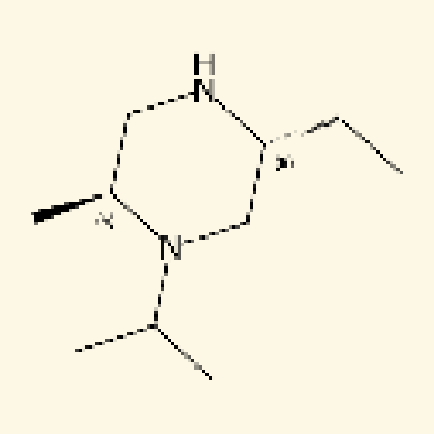 CC[C@@H]1CN(C(C)C)[C@@H](C)CN1